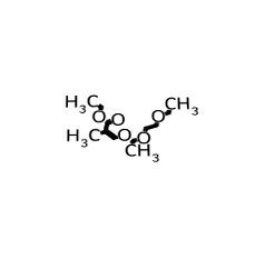 CCOCCOC(C)OC=C(C)C(=O)OCC